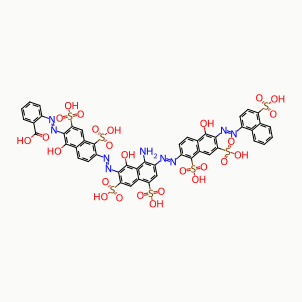 Nc1c(N=Nc2ccc3c(O)c(N=Nc4ccc(S(=O)(=O)O)c5ccccc45)c(S(=O)(=O)O)cc3c2S(=O)(=O)O)cc(S(=O)(=O)O)c2cc(S(=O)(=O)O)c(N=Nc3ccc4c(O)c(N=Nc5ccccc5C(=O)O)c(S(=O)(=O)O)cc4c3S(=O)(=O)O)c(O)c12